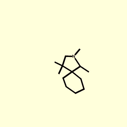 CC1N(C)CC(C)(C)C12CCCCC2